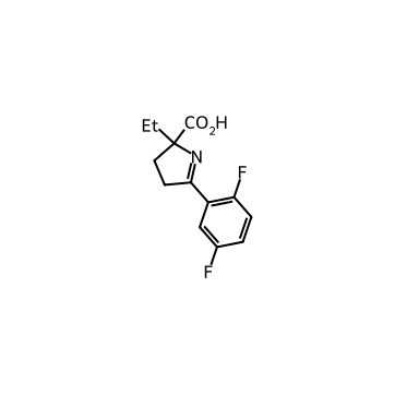 CCC1(C(=O)O)CCC(c2cc(F)ccc2F)=N1